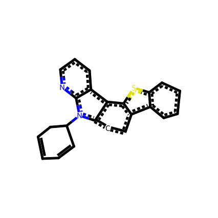 C1=CCC(n2c3ccc4c5ccccc5sc4c3c3cccnc32)C=C1